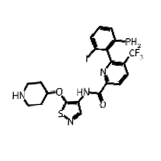 O=C(Nc1cnsc1OC1CCNCC1)c1ccc(C(F)(F)F)c(-c2c(P)cccc2I)n1